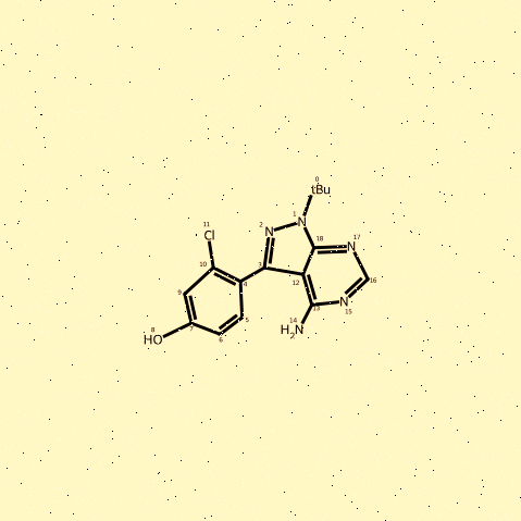 CC(C)(C)n1nc(-c2ccc(O)cc2Cl)c2c(N)ncnc21